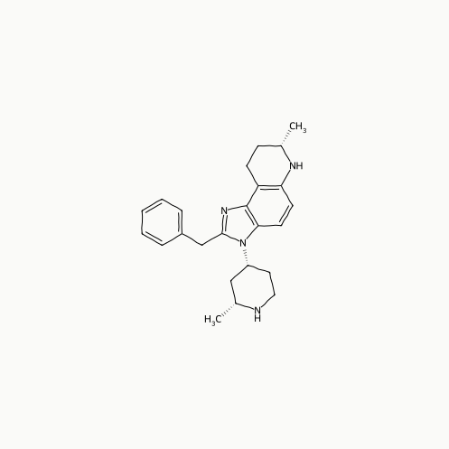 C[C@@H]1C[C@H](n2c(Cc3ccccc3)nc3c4c(ccc32)N[C@@H](C)CC4)CCN1